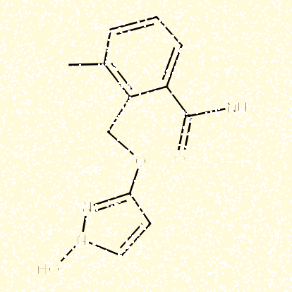 Cc1cccc(C(N)=O)c1COc1ccn(O)n1